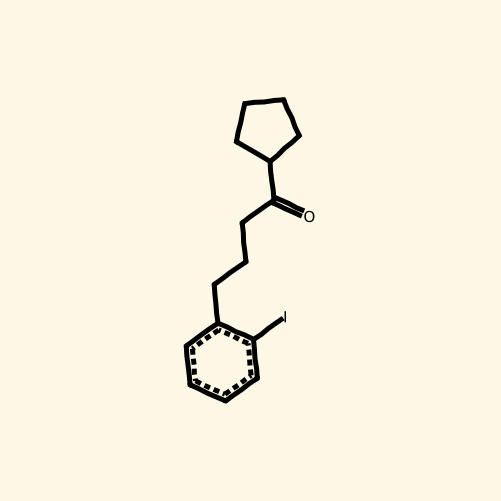 O=C(CCCc1ccccc1I)C1CCCC1